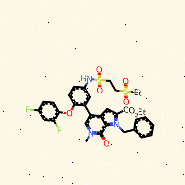 CCOC(=O)c1cc2c(-c3cc(NS(=O)(=O)CCS(=O)(=O)CC)ccc3Oc3ccc(F)cc3F)cn(C)c(=O)c2n1Cc1ccccc1